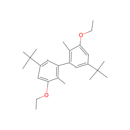 CCOc1cc(C(C)(C)C)[c]c(-c2[c]c(C(C)(C)C)cc(OCC)c2C)c1C